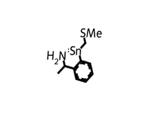 CS[CH2][Sn][c]1ccccc1C(C)N